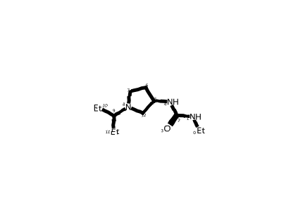 CCNC(=O)NC1CCN(C(CC)CC)C1